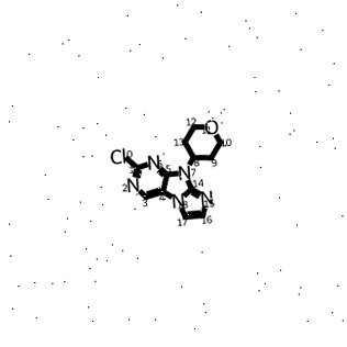 Clc1ncc2c(n1)n(C1CCOCC1)c1nccn21